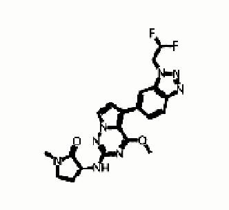 COc1nc(N[C@H]2CCN(C)C2=O)nn2ccc(-c3ccc4nnn(CC(F)F)c4c3)c12